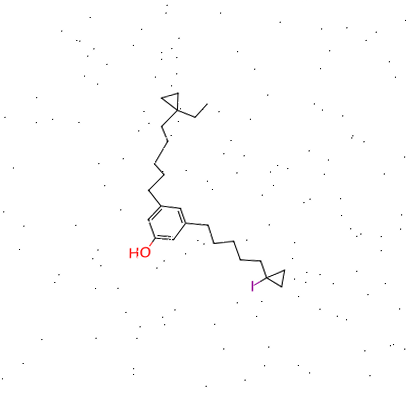 CCC1(CCCCCc2cc(O)cc(CCCCCC3(I)CC3)c2)CC1